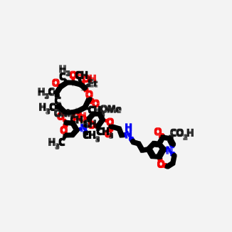 CC[C@H]1OC(=O)[C@H](C)[C@@H](O[C@H]2C[C@@H](OC)[C@@H](OC(=O)CCNCCCc3cc4c5c(c3)c(=O)c(C(=O)O)cn5CCCO4)[C@H](C)O2)[C@H](C)[C@@H](O[C@@H]2O[C@H](C)C[C@H](N(C)C)[C@H]2O)[C@](C)(OC)C[C@@H](C)C(=O)[C@H](C)[C@@H](O)[C@]1(C)O